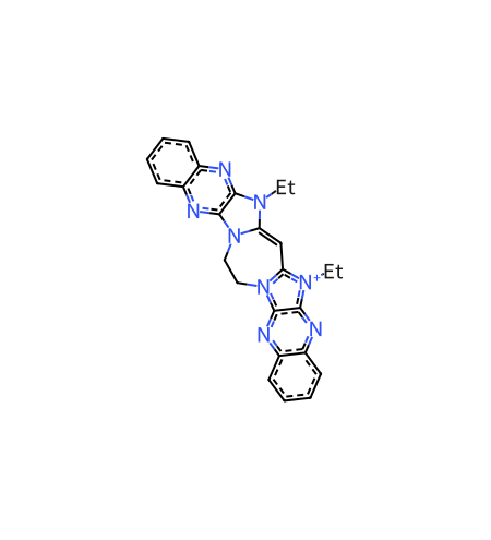 CCN1C2=Cc3n(c4nc5ccccc5nc4[n+]3CC)CCN2c2nc3ccccc3nc21